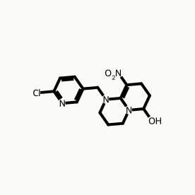 O=[N+]([O-])C1=C2N(Cc3ccc(Cl)nc3)CCCN2C(O)CC1